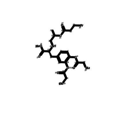 COC(=O)[C@H](Cc1ccc(OC(=O)CC(C)(C)C)c(OC(=O)CC(C)(C)C)c1)NCC(C)OC(=O)CCC(C)C